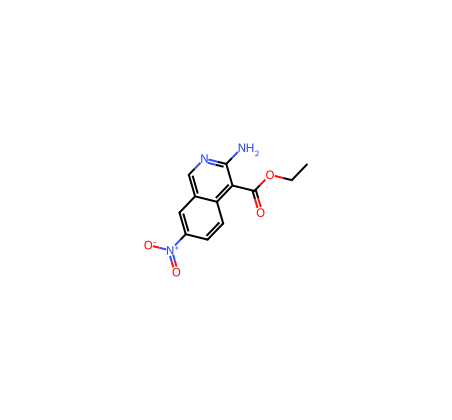 CCOC(=O)c1c(N)ncc2cc([N+](=O)[O-])ccc12